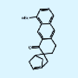 CCCCc1cccc2cc3c(cc12)C(=O)C1(CC3)CC2=CCC1C2